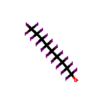 [O]C(I)(I)C(I)(I)C(I)(I)C(I)(I)C(I)(I)C(I)(I)C(I)(I)C(I)(I)C(I)(I)I